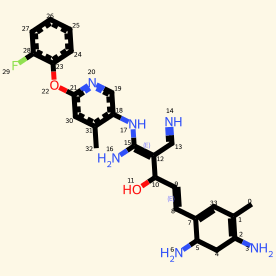 CC1=C(N)CC(N)C(/C=C/C(O)/C(C=N)=C(\N)Nc2cnc(Oc3ccccc3F)cc2C)=C1